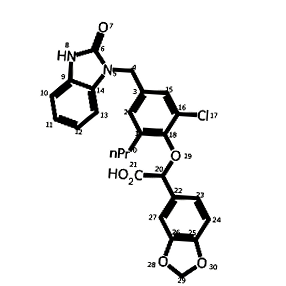 CCCc1cc(Cn2c(=O)[nH]c3ccccc32)cc(Cl)c1OC(C(=O)O)c1ccc2c(c1)OCO2